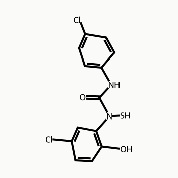 O=C(Nc1ccc(Cl)cc1)N(S)c1cc(Cl)ccc1O